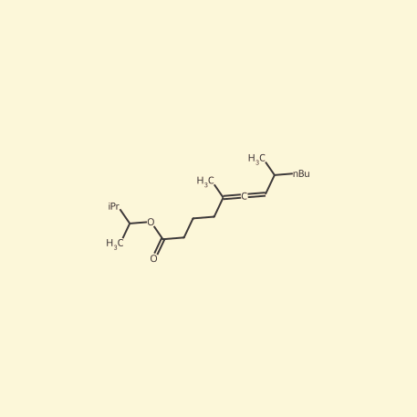 CCCCC(C)C=C=C(C)CCCC(=O)OC(C)C(C)C